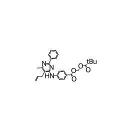 C=CCc1c(C)nc(-c2ccccc2)nc1Nc1ccc(C(=O)OCOC(=O)C(C)(C)C)cc1